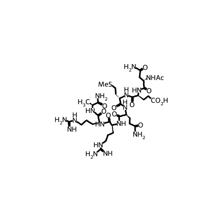 CSCC[C@H](NC(=O)[C@H](CCC(=O)O)NC(=O)[C@H](CC(N)=O)NC(C)=O)C(=O)N[C@@H](CCC(N)=O)C(=O)N[C@@H](CCCNC(=N)N)C(=O)N[C@@H](CCCNC(=N)N)C(=O)N[C@@H](C)C(N)=O